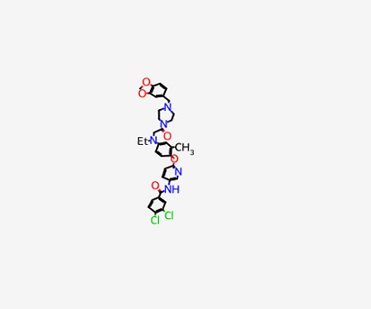 CCN(CC(=O)N1CCN(Cc2ccc3c(c2)OCO3)CC1)c1ccc(Oc2ccc(NC(=O)c3ccc(Cl)c(Cl)c3)cn2)c(C)c1